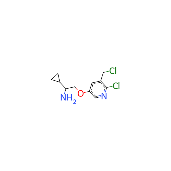 NC(COc1cnc(Cl)c(CCl)c1)C1CC1